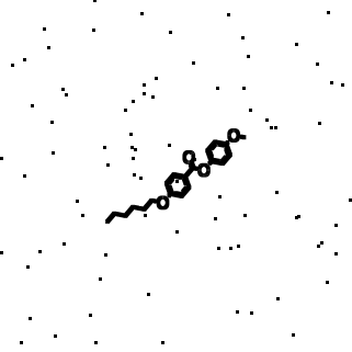 CCCCCCOc1ccc(C(=O)Oc2ccc(OC)cc2)cc1